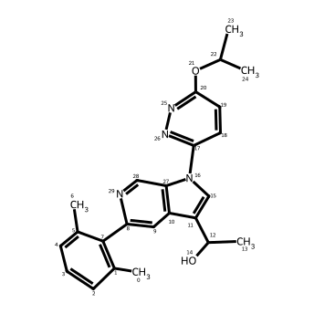 Cc1cccc(C)c1-c1cc2c(C(C)O)cn(-c3ccc(OC(C)C)nn3)c2cn1